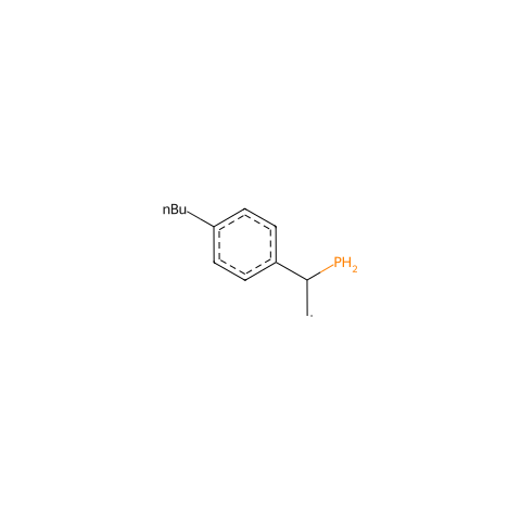 [CH2]C(P)c1ccc(CCCC)cc1